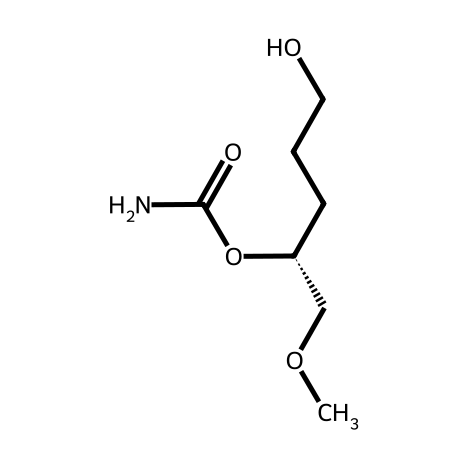 COC[C@@H](CCCO)OC(N)=O